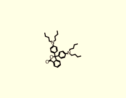 CCCCN(CCCC)c1ccc(C2(c3ccc(N(CCCC)CCCC)cc3)OC(=O)c3ccccc32)cc1